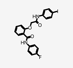 O=C(COc1ccccc1C(=O)Nc1ccc(F)cc1)Nc1ccc(I)cc1